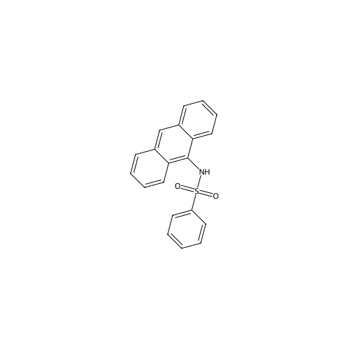 O=S(=O)(Nc1c2ccccc2cc2ccccc12)c1ccccc1